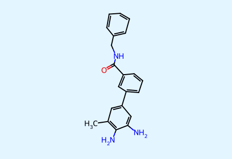 Cc1cc(-c2cccc(C(=O)NCc3ccccc3)c2)cc(N)c1N